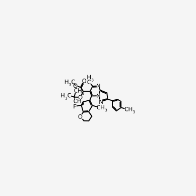 COC(=O)C(OC(C)(C)C)c1c(C)nc2cc(-c3ccc(C)cc3)nn2c1-c1cc(F)c2c(c1C)CCCO2